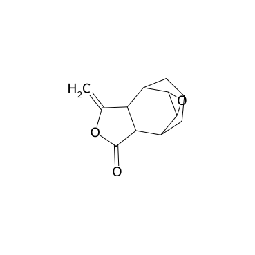 C=C1OC(=O)C2C3CCCC(C4OC34)C12